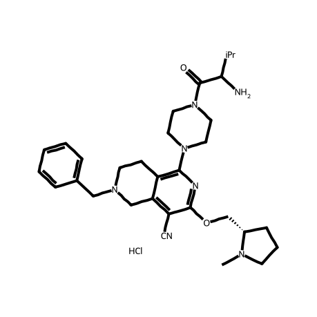 CC(C)C(N)C(=O)N1CCN(c2nc(OC[C@@H]3CCCN3C)c(C#N)c3c2CCN(Cc2ccccc2)C3)CC1.Cl